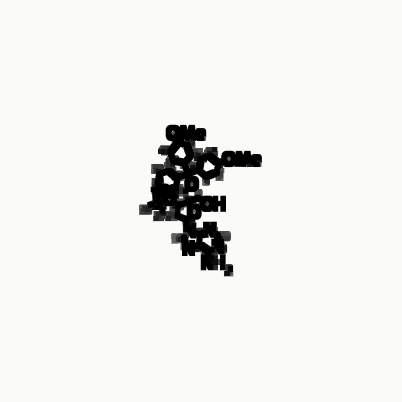 COc1ccc(C(OC[C@]2(CO)O[C@@H](n3cnc4c(N)ncnc43)C[C@@H]2O[Si](C)(C)C(C)(C)C)(c2ccccc2)c2ccc(OC)cc2)cc1